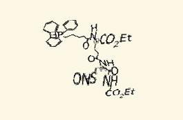 CCOC(=O)CNC(=O)[C@H](CSN=O)NC(=O)CC[C@H](NC(=O)CCCC[PH](c1ccccc1)(c1ccccc1)c1ccccc1)C(=O)OCC